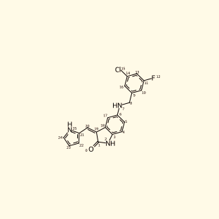 O=C1Nc2ccc(NCc3cc(F)cc(Cl)c3)cc2C1=Cc1ccc[nH]1